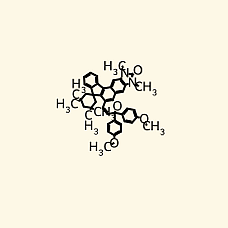 COc1ccc(C2(c3ccc(OC)cc3)C=Cc3c4c(c5cc6c(cc5c3O2)n(C)c(=O)n6C)-c2ccccc2C42CC(C)(C)CC(C)(C)C2)cc1